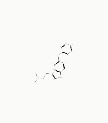 CN(C)CCc1c[nH]c2ccc(Oc3cccnc3)cc12